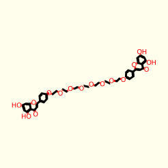 O=c1cc(-c2ccc(OCCOCCOCCOCCOCCOCCOCCOc3ccc(-c4cc(=O)c5c(O)cc(O)cc5o4)cc3)cc2)oc2cc(O)cc(O)c12